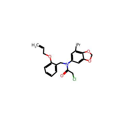 C=CCOc1ccccc1CN(C(=O)CCl)c1cc2c(c(C(C)C)c1)OCO2